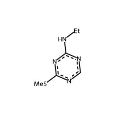 CCNc1ncnc(SC)n1